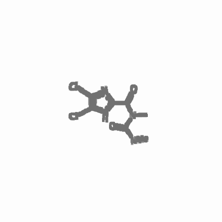 CNC(=O)N(C)C(=O)c1nc(Cl)c(Cl)[nH]1